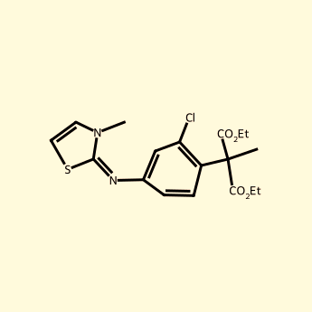 CCOC(=O)C(C)(C(=O)OCC)c1ccc(N=c2sccn2C)cc1Cl